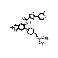 CCOP(OCC)OCC1CCN(c2cc3nn(C)cc3cc2NC(=O)c2coc(-c3ccnc(C)c3)n2)CC1